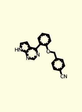 N#Cc1ccc(COc2ccccc2-c2ncnc3[nH]ccc23)cc1